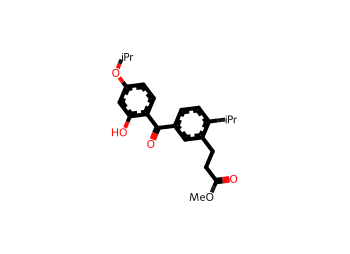 COC(=O)CCc1cc(C(=O)c2ccc(OC(C)C)cc2O)ccc1C(C)C